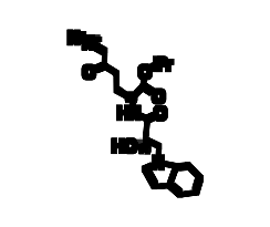 CC(C)OC(=O)[C@H](CCC(=O)C=[N+]=[N-])NC(=O)[C@@H](O)Cn1ccc2ccccc21